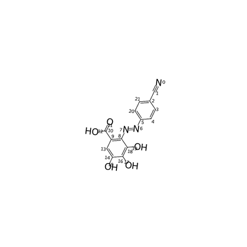 N#Cc1ccc(/N=N/c2c(C(=O)O)cc(O)c(O)c2O)cc1